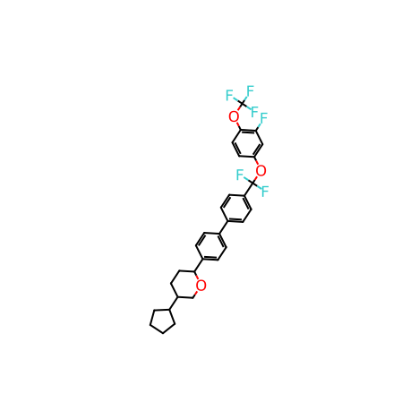 Fc1cc(OC(F)(F)c2ccc(-c3ccc(C4CCC(C5CCCC5)CO4)cc3)cc2)ccc1OC(F)(F)F